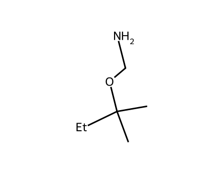 CCC(C)(C)OCN